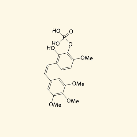 COc1cc(/C=C\c2ccc(OC)c(OP(=O)(O)O)c2O)cc(OC)c1OC